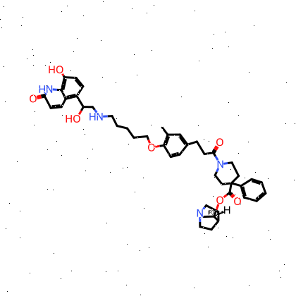 Cc1cc(CCC(=O)N2CCC(C(=O)O[C@H]3CN4CCC3CC4)(c3ccccc3)CC2)ccc1OCCCCCNCC(O)c1ccc(O)c2[nH]c(=O)ccc12